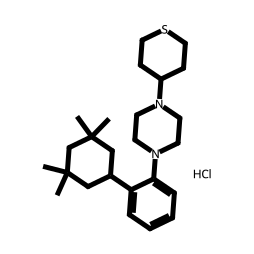 CC1(C)CC(c2ccccc2N2CCN(C3CCSCC3)CC2)CC(C)(C)C1.Cl